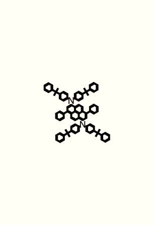 CC(C)(c1ccccc1)c1ccc(N(c2ccc(C(C)(C)c3ccccc3)cc2)c2cc(-c3ccccc3)c3ccc4c(N(c5ccc(C(C)(C)c6ccccc6)cc5)c5ccc(C(C)(C)c6ccccc6)cc5)cc(-c5ccccc5)c5ccc2c3c54)cc1